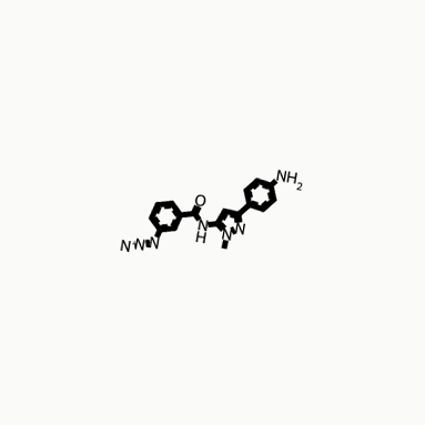 Cn1nc(-c2ccc(N)cc2)cc1NC(=O)c1cccc(N=[N+]=[N-])c1